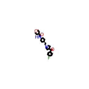 O=C(N[C@H]1CC[C@H](CCN2CCC(C(=O)c3ccc(F)cc3)CC2)CC1)C1CCOCC1